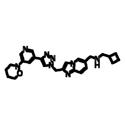 c1cc2nc(Cn3cc(-c4cncc(N5CCCCO5)c4)nn3)cn2cc1CNCC1CCC1